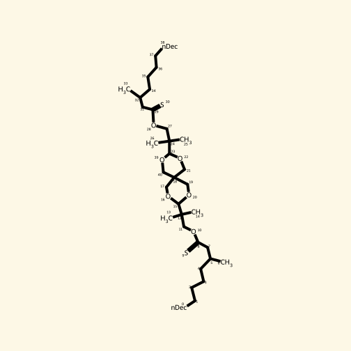 CCCCCCCCCCCCCCC(C)CC(=S)OCC(C)(C)C1OCC2(CO1)COC(C(C)(C)COC(=S)CC(C)CCCCCCCCCCCCCC)OC2